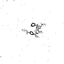 COC(=O)c1ccc(N(C)C(=O)CN(C)C(=O)C2CC(SC(C)=O)CN2S(=O)(=O)c2ccccc2)cc1